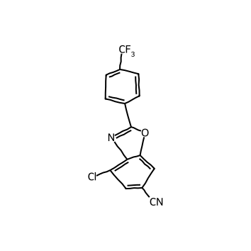 N#Cc1cc(Cl)c2nc(-c3ccc(C(F)(F)F)cc3)oc2c1